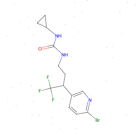 O=C(NCCC(c1ccc(Br)nc1)C(F)(F)F)NC1CC1